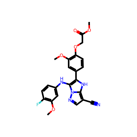 COC(=O)COc1ccc(-c2[nH]c3c(C#N)cnn3c2Nc2ccc(F)c(OC)c2)cc1OC